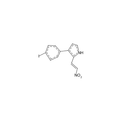 O=[N+]([O-])C=Cc1[nH]ccc1-c1ccc(I)cc1